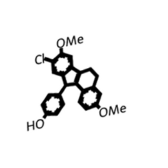 COc1ccc2c(c1)CCC1=C2C(c2ccc(O)cc2)c2cc(Cl)c(OC)cc21